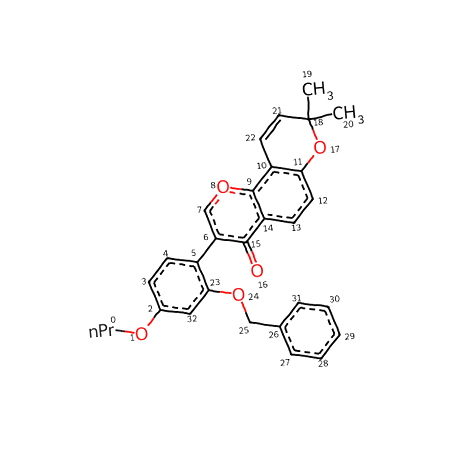 CCCOc1ccc(-c2coc3c4c(ccc3c2=O)OC(C)(C)C=C4)c(OCc2ccccc2)c1